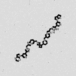 C1=Nc2ccn(-c3cncc(-c4cn(Cc5cn6cc(CN7CC8(CCC8C8CCCN(Cc9ccc%10nc(CN%11C=C(c%12cncc(-n%13ccc%14ccsc%14%13)c%12)NN%11)cn%10c9)C8)C7)ccc6n5)nn4)c3)c2OC1